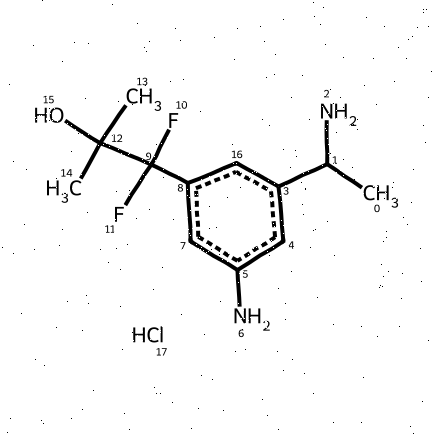 CC(N)c1cc(N)cc(C(F)(F)C(C)(C)O)c1.Cl